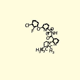 CC1CCN(c2ncccc2C(=O)NS(=O)(=O)c2cccc(Oc3cccc(Cl)c3F)n2)C1(C)C